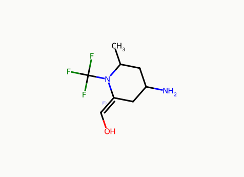 CC1CC(N)C/C(=C\O)N1C(F)(F)F